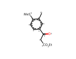 CCOC(=O)CC(=O)c1ccc(SC)c(C)c1